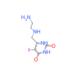 NCCNCc1[nH]c(=O)[nH]c(=O)c1I